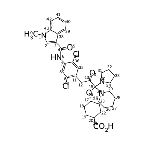 Cn1cc(C(=O)Nc2cc(Cl)c(CC(=O)C(O[C@H]3CC[C@H](C(=O)O)CC3)(N3CCCCC3)N3CCCC3)cc2Cl)c2ccccc21